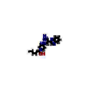 CC/C=C\CC(O)N1CCC(N/C=C(\CN)c2cnc3ccccc3n2)CC1